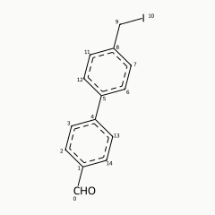 O=Cc1ccc(-c2ccc(CI)cc2)cc1